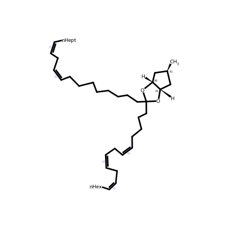 CCCCCC/C=C\C/C=C\C/C=C\CCCCC1(CCCCCCCC/C=C\C/C=C\CCCCCCC)O[C@H]2C[C@H](C)C[C@H]2O1